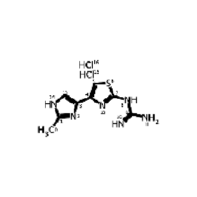 Cc1nc(-c2csc(NC(=N)N)n2)c[nH]1.Cl.Cl